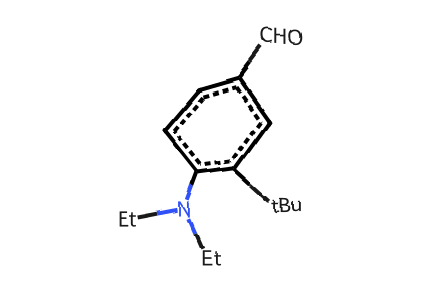 CCN(CC)c1ccc(C=O)cc1C(C)(C)C